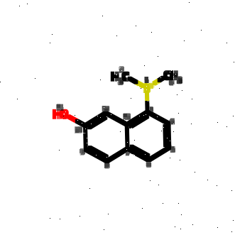 C[S+](C)c1cccc2ccc(O)cc12